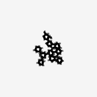 Cc1ccc(-c2ccc3c(c2)c2ccccc2n3-c2cc(-c3cc(-c4ccccc4)nc(-c4ccccc4)n3)ccc2-c2ccccc2-n2c3ccccc3c3ccccc32)c(C)c1